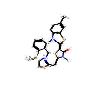 CCn1c(=O)/c(=C2\Sc3cc(C)ccc3N2C)s/c1=C\c1scc[n+]1Cc1ccccc1SC(F)(F)F